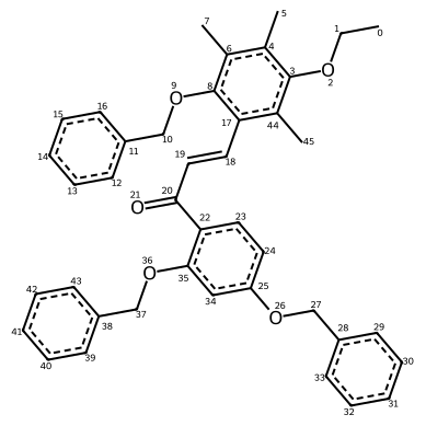 CCOc1c(C)c(C)c(OCc2ccccc2)c(C=CC(=O)c2ccc(OCc3ccccc3)cc2OCc2ccccc2)c1C